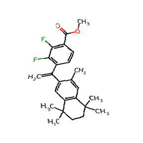 C=C(c1cc2c(cc1C)C(C)(C)CCC2(C)C)c1ccc(C(=O)OC)c(F)c1F